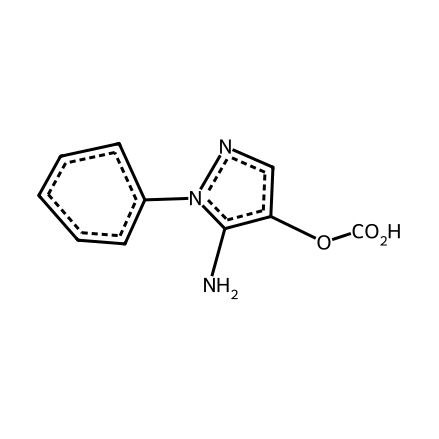 Nc1c(OC(=O)O)cnn1-c1ccccc1